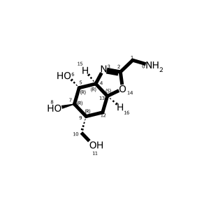 NCC1=N[C@@H]2[C@@H](O)[C@H](O)[C@@H](CO)C[C@@H]2O1